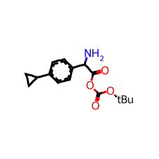 CC(C)(C)OC(=O)OC(=O)C(N)c1ccc(C2CC2)cc1